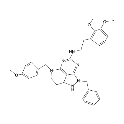 COc1ccc(CN2CCC3NN(Cc4ccccc4)c4nc(NCCc5cccc(OC)c5OC)nc2c43)cc1